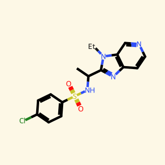 CCn1c(C(C)NS(=O)(=O)c2ccc(Cl)cc2)nc2ccncc21